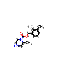 Cc1cccc(COC(=O)N2CCNCC2C)c1C